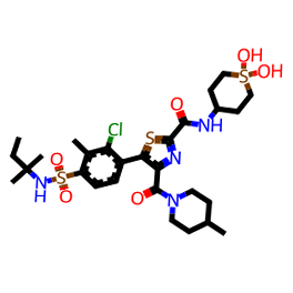 CCC(C)(C)NS(=O)(=O)c1ccc(-c2sc(C(=O)NC3CCS(O)(O)CC3)nc2C(=O)N2CCC(C)CC2)c(Cl)c1C